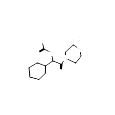 CC(=O)NC(C(=O)N1CCN[C@@H](C)C1)C1CCCCC1